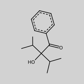 CC(C)C(O)(C(=O)c1ccccc1)C(C)C